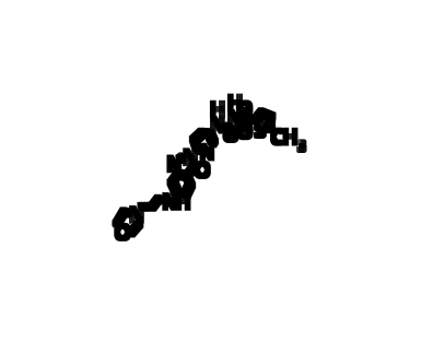 Cc1ccc(S(=O)(=O)NC(=O)Nc2ccc(-n3cnc4cc(NCCCN5CCOCC5)ccc4c3=O)nc2)s1